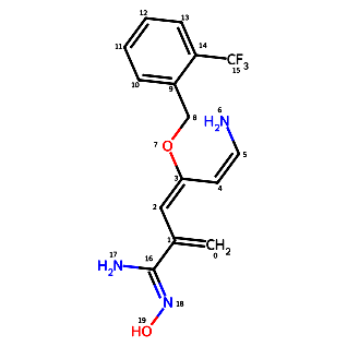 C=C(/C=C(\C=C/N)OCc1ccccc1C(F)(F)F)/C(N)=N/O